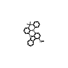 C=Nc1ccc2c3c1c1ccccc1n3-c1cccc3c1B2c1ccccc1C3(C)C